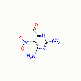 Nc1nc(N)c([N+](=O)[O-])c(C=O)n1